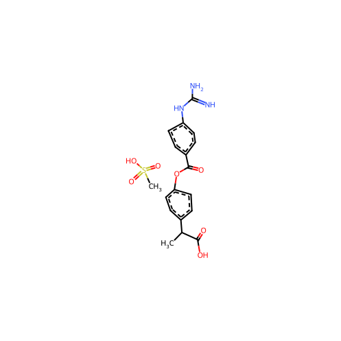 CC(C(=O)O)c1ccc(OC(=O)c2ccc(NC(=N)N)cc2)cc1.CS(=O)(=O)O